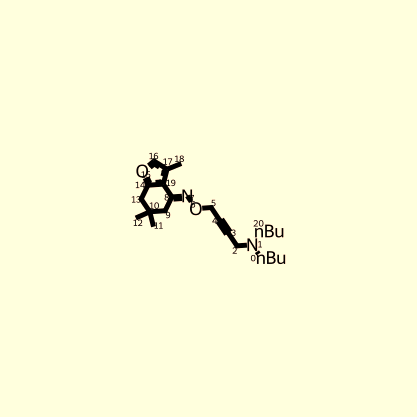 CCCCN(CC#CCO/N=C1\CC(C)(C)Cc2occ(C)c21)CCCC